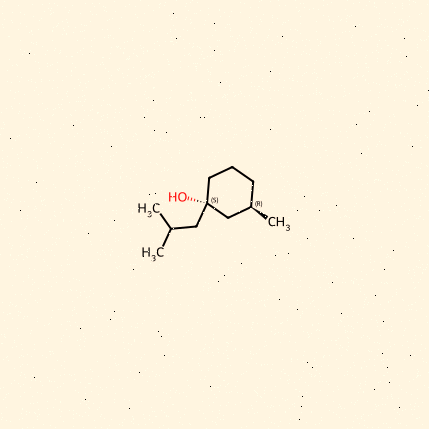 CC(C)C[C@@]1(O)CCC[C@@H](C)C1